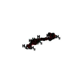 Cc1cc(OCCCc2c(C(=O)O)[nH]c3c(-c4c(C)nn(CC(=O)NCCCOCCOCCOCCCNC(=O)COc5ccc6c(C)cc(=O)n(C7CCC(=O)NC7=O)c6c5)c4C)c(Cl)ccc23)cc(C)c1Cl